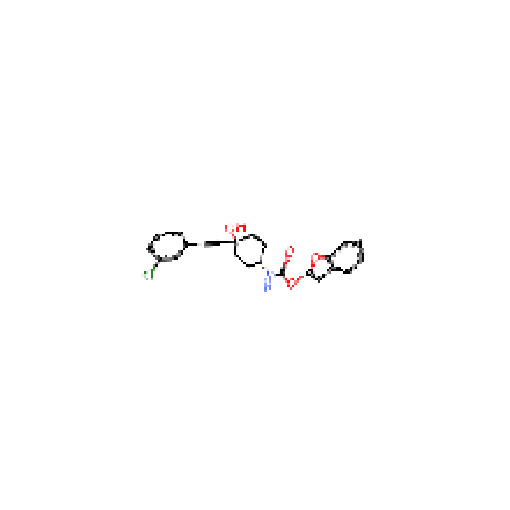 O=C(N[C@H]1CC[C@@](O)(C#Cc2cccc(Cl)c2)CC1)Oc1cc2ccccc2o1